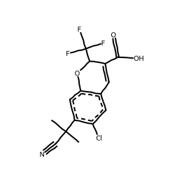 CC(C)(C#N)c1cc2c(cc1Cl)C=C(C(=O)O)C(C(F)(F)F)O2